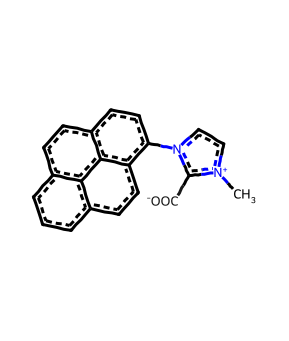 C[n+]1ccn(-c2ccc3ccc4cccc5ccc2c3c45)c1C(=O)[O-]